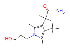 Cc1c2c(c(C)n1CCCO)C(C)(C(N)=O)CC2(C)C